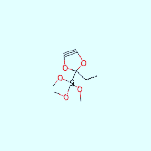 CCC1([Si](OC)(OC)OC)OC#CO1